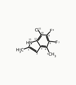 Cc1cc2c(C)c(F)c(F)c(Cl)c2[nH]1